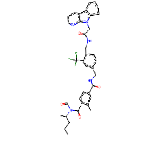 CCCC(C)N(C=O)C(=O)c1ccc(C(=O)NCc2ccc(CNC(=O)Cn3c4ccccc4c4cccnc43)c(C(F)(F)F)c2)cc1C